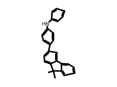 CC1(C)c2ccccc2-c2cc(-c3ccc(Nc4ccccc4)cc3)ccc21